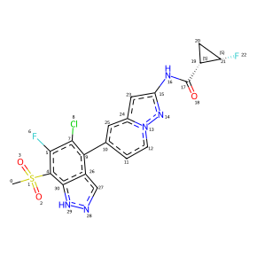 CS(=O)(=O)c1c(F)c(Cl)c(-c2ccn3nc(NC(=O)[C@@H]4C[C@@H]4F)cc3c2)c2cn[nH]c12